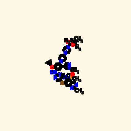 Cc1ncc2c(P(C)(C)=O)c(Nc3nc(Nc4cc(-c5cnn(C)c5)c(N5CCC(N6CCN(C(=O)OC(C)(C)C)CC6)CC5)cc4OC4CC4)ncc3Br)ccc2n1